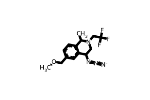 COCc1ccc2c(c1)C(N=[N+]=[N-])CN(CC(F)(F)F)C2C